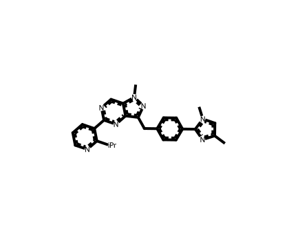 Cc1cn(C)c(-c2ccc(Cc3nn(C)c4cnc(-c5cccnc5C(C)C)nc34)cc2)n1